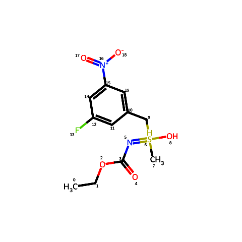 CCOC(=O)N=[SH](C)(O)Cc1cc(F)cc([N+](=O)[O-])c1